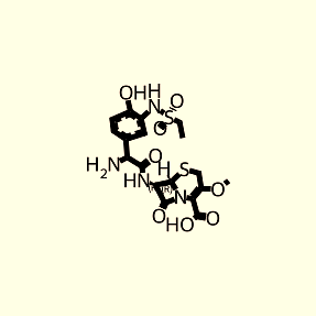 CCS(=O)(=O)Nc1cc(C(N)C(=O)N[C@@H]2C(=O)N3C(C(=O)O)=C(OC)CS[C@H]23)ccc1O